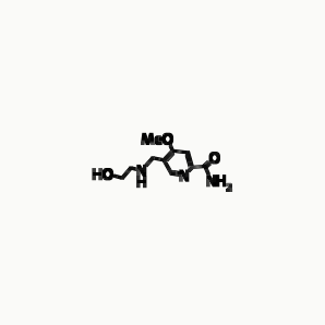 COc1cc(C(N)=O)ncc1CNCCO